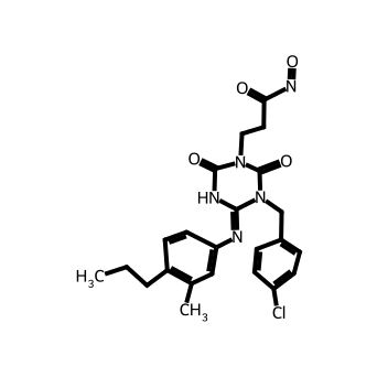 CCCc1ccc(/N=c2\[nH]c(=O)n(CCC(=O)N=O)c(=O)n2Cc2ccc(Cl)cc2)cc1C